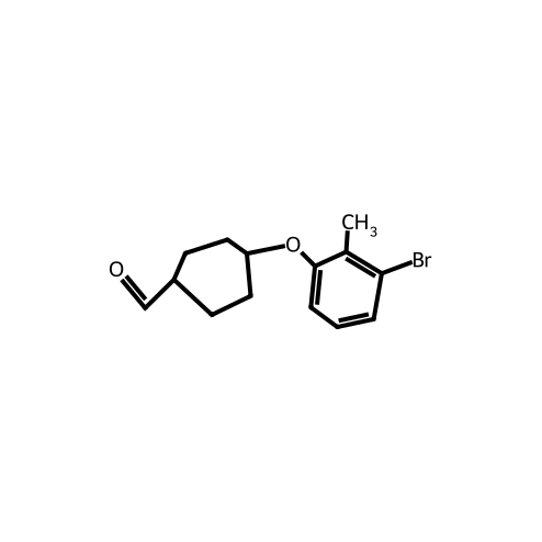 Cc1c(Br)cccc1OC1CCC(C=O)CC1